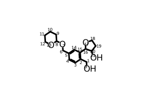 OCc1ccc(COC2CCCCO2)cc1C1OCCC1O